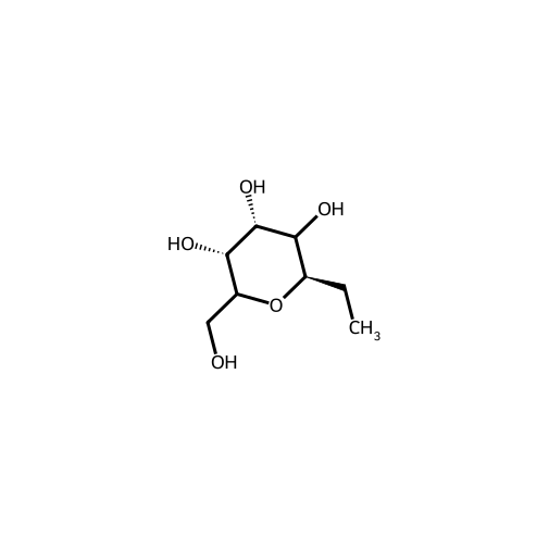 CC[C@H]1OC(CO)[C@H](O)[C@H](O)C1O